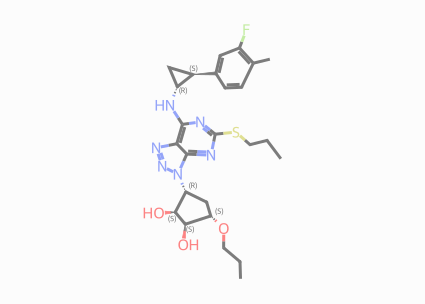 CCCO[C@H]1C[C@@H](n2nnc3c(N[C@@H]4C[C@H]4c4ccc(C)c(F)c4)nc(SCCC)nc32)[C@H](O)[C@@H]1O